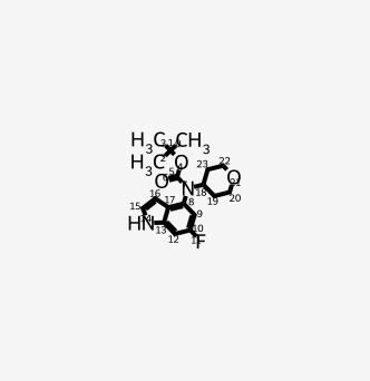 CC(C)(C)OC(=O)N(c1cc(F)cc2[nH]ccc12)C1CCOCC1